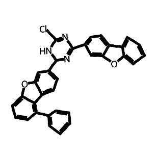 ClC1=NC(c2ccc3c(c2)oc2ccccc23)=NC(c2ccc3c(c2)oc2cccc(-c4ccccc4)c23)N1